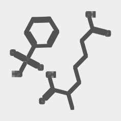 CC(CCCCC(=O)O)C(=O)O.O=S(=O)(O)c1ccccc1